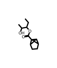 CCC(OC(=O)C1=CC2CCC1C2)C(C)O